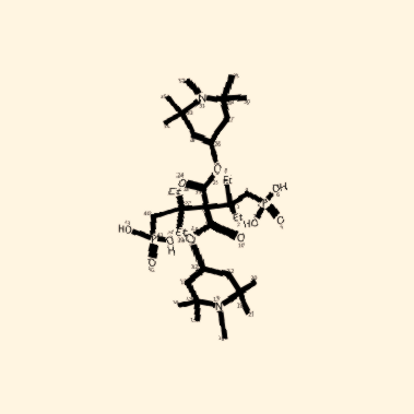 CCC(CC)(CP(=O)(O)O)C(C(=O)OC1CC(C)(C)N(C)C(C)(C)C1)(C(=O)OC1CC(C)(C)N(C)C(C)(C)C1)C(CC)(CC)CP(=O)(O)O